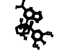 Cc1cc(C(=O)N2[C@H]3CC[C@H](c4cc(C(F)F)nc5ncnn45)[C@@H]2CC3)cc(C)c1F